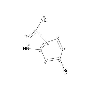 [C-]#[N+]c1c[nH]c2cc(Br)ccc12